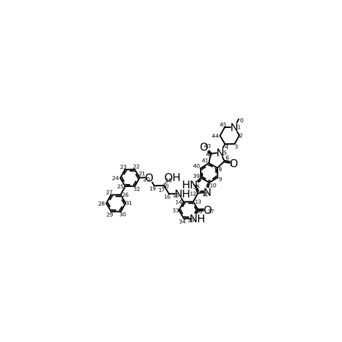 CN1CCC(N2C(=O)c3cc4nc(-c5c(NC[C@@H](O)COc6cccc(-c7ccccc7)c6)cc[nH]c5=O)[nH]c4cc3C2=O)CC1